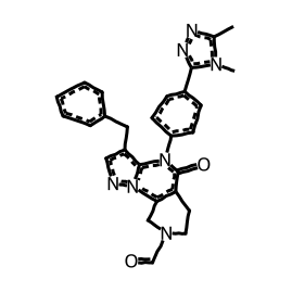 Cc1nnc(-c2ccc(-n3c(=O)c4c(n5ncc(Cc6ccccc6)c35)CN(C=O)CC4)cc2)n1C